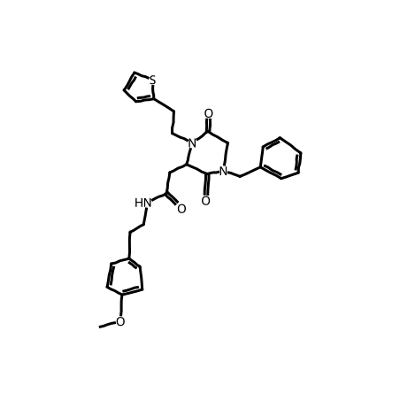 COc1ccc(CCNC(=O)CC2C(=O)N(Cc3ccccc3)CC(=O)N2CCc2cccs2)cc1